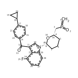 C=P(=O)C[C@@H]1CCC[C@H](n2cc(C(=O)c3ccc(C4CC4)cc3)c3c(F)cccc32)O1